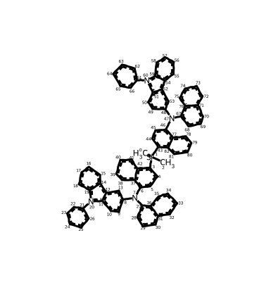 C[Si](C)(c1ccc(N(c2ccc3c(c2)c2ccccc2n3-c2ccccc2)c2cccc3ccccc23)c2ccccc12)c1ccc(N(c2ccc3c(c2)c2ccccc2n3-c2ccccc2)c2cccc3ccccc23)c2ccccc12